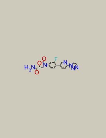 NC(=O)[C@H]1CN(c2ccc(-c3ccc(-n4ccnn4)nc3)c(F)c2)C(=O)O1